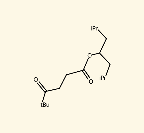 CC(C)CC(CC(C)C)OC(=O)CCC(=O)C(C)(C)C